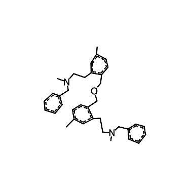 Cc1ccc(COCc2ccc(C)cc2CCN(C)Cc2ccccc2)c(CCN(C)Cc2ccccc2)c1